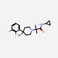 CC(C)(C(=O)NC1CC1)N1CCC(C#N)(c2cccc(F)c2F)CC1